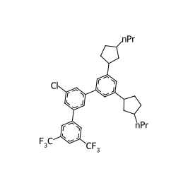 CCCC1CCC(c2cc(-c3cc(Cl)cc(-c4cc(C(F)(F)F)cc(C(F)(F)F)c4)c3)cc(C3CCC(CCC)C3)c2)C1